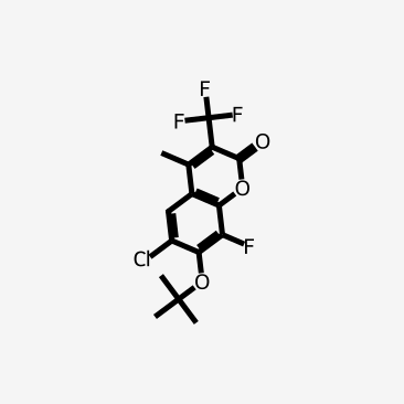 Cc1c(C(F)(F)F)c(=O)oc2c(F)c(OC(C)(C)C)c(Cl)cc12